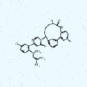 CC1CCCC(n2cnc(-c3cc(Cl)ccc3N(N)/C=C(\N)C(F)(F)F)cc2=O)c2cccc(c2)-c2cc(F)ncc2NC1=O